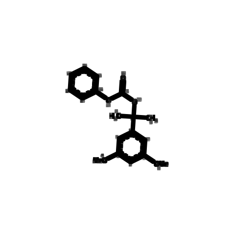 COc1cc(OC)cc(C(C)(C)OC(=O)Oc2ccccc2)c1